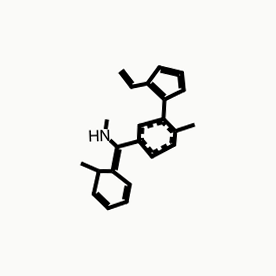 C=CC1=C(c2cc(/C(NC)=C3\C=CC=CC3C)ccc2C)C=C=C1